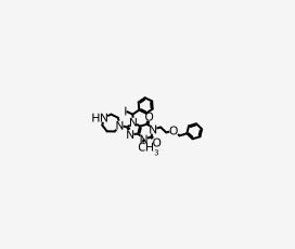 Cn1c(=O)n(CCOCc2ccccc2)c(=O)c2c1nc(N1CCCNCC1)n2C(I)c1ccccc1